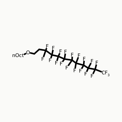 CCCCCCCCOCCC(F)(F)C(F)(F)C(F)(F)C(F)(F)C(F)(F)C(F)(F)C(F)(F)C(F)(F)C(F)(F)C(F)(F)F